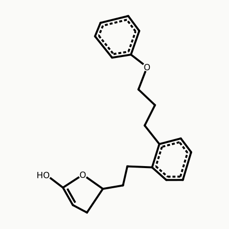 OC1=CCC(CCc2ccccc2CCCOc2ccccc2)O1